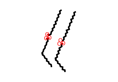 CCCCCCCC/C=C\CCCCCCCC(=O)OC(=O)CCCCCCCCCCCCCCC.CCCCCCCC/C=C\CCCCCCCC(=O)OC(=O)CCCCCCCCCCCCCCCCC